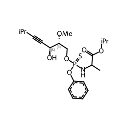 CO[C@H](COP(=S)(NC(C)C(=O)OC(C)C)Oc1ccccc1)[C@@H](O)C#CC(C)C